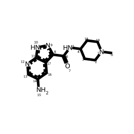 CN1CCC(NC(=O)c2n[nH]c3ncc(N)cc23)CC1